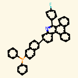 Fc1ccc(-c2nc3cc(-c4ccc5cc(P(c6ccccc6)c6ccccc6)ccc5c4)ccc3c3c4ccccc4c4ccccc4c23)cc1